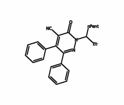 C[CH]C(CCCCC)n1nc(-c2ccccc2)c(-c2ccccc2)c(C#N)c1=O